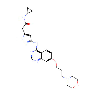 O=C(Cc1cc(Nc2ncnc3cc(OCCCN4CCOCC4)ccc23)n[nH]1)NC1CC1